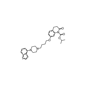 CC(C)OC(=O)N1C(=O)CCc2ccc(OCCCCN3CCN(c4cccc5sccc45)CC3)cc21